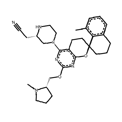 Cc1cccc2c1C1(CCC2)CCc2c(nc(OC[C@@H]3CCCN3C)nc2N2CCN[C@@H](CC#N)C2)O1